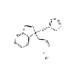 C=CC[C]1([Ti+2][C]2=CC=CC2)C=Cc2ccccc21.[Cl-].[Cl-]